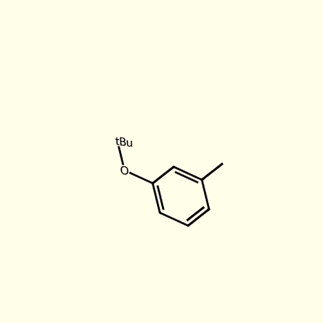 Cc1cccc(OC(C)(C)C)c1